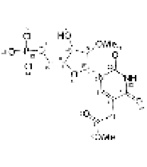 COC(=O)Cc1cn([C@@H]2O[C@H](COP(=O)(Cl)Cl)C(O)C2OC)c(=O)[nH]c1=O